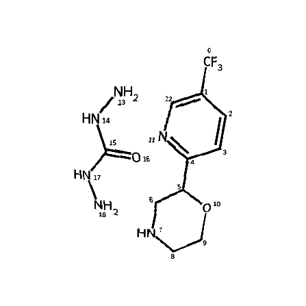 FC(F)(F)c1ccc(C2CNCCO2)nc1.NNC(=O)NN